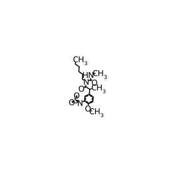 CCCCCCN(C(=O)NC)C(=O)C(C)c1ccc(OC)c(N=S(=O)=O)c1